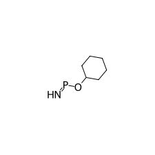 N=POC1CCCCC1